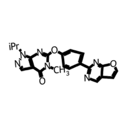 CC(C)n1ncc2c(=O)n(C)c(Oc3ccc(-c4ncc5ccoc5n4)cc3)nc21